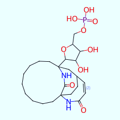 O=C1/C=C\C2CCC3(CCCCCCCCCC(C4OC(COP(=O)(O)O)C(O)C4O)(C2)NC3=O)N1